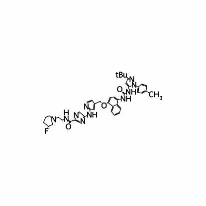 Cc1ccc(-n2nc(C(C)(C)C)cc2NC(=O)Nc2ccc(OCc3ccnc(Nc4cnc(C(=O)NCCN5CCCC(F)C5)cn4)c3)c3ccccc23)cc1